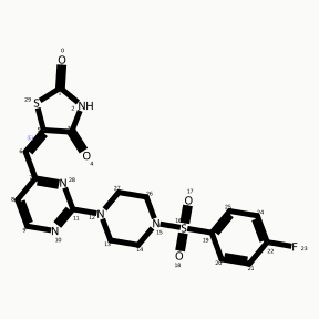 O=C1NC(=O)/C(=C\c2ccnc(N3CCN(S(=O)(=O)c4ccc(F)cc4)CC3)n2)S1